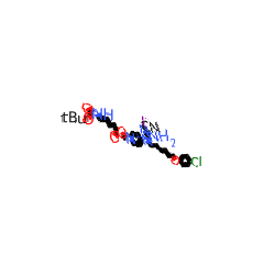 CC(C)(C)OC(=O)NCCCCC(=O)OC[n+]1ccc(N(CCCCCCOc2ccc(Cl)cc2)C(N)=NC#N)cc1.[I-]